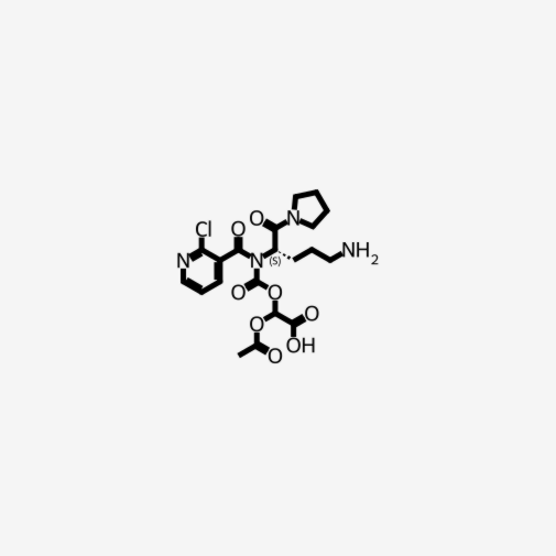 CC(=O)OC(OC(=O)N(C(=O)c1cccnc1Cl)[C@@H](CCCN)C(=O)N1CCCC1)C(=O)O